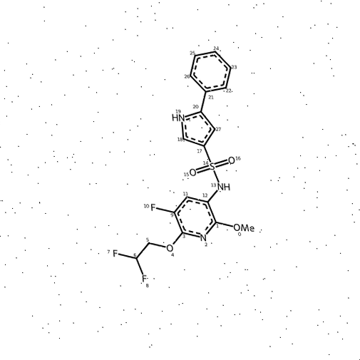 COc1nc(OCC(F)F)c(F)cc1NS(=O)(=O)c1c[nH]c(-c2ccccc2)c1